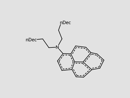 CCCCCCCCCCCCN(CCCCCCCCCCCC)c1ccc2ccc3cccc4ccc1c2c34